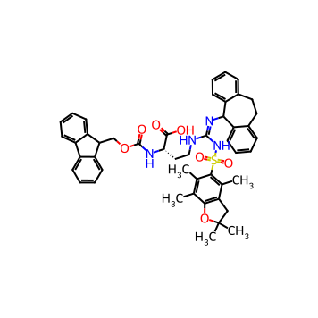 Cc1c(C)c(S(=O)(=O)N/C(=N\C2c3ccccc3CCc3ccccc32)NCC[C@H](NC(=O)OCC2c3ccccc3-c3ccccc32)C(=O)O)c(C)c2c1OC(C)(C)C2